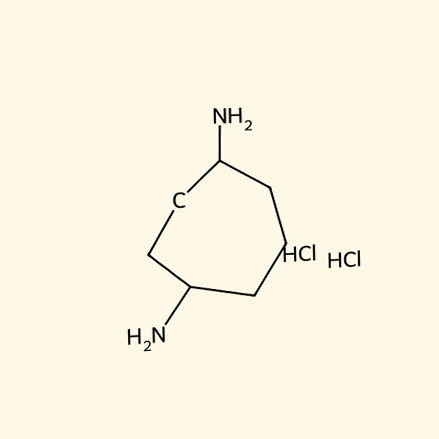 Cl.Cl.NC1CCCC(N)CC1